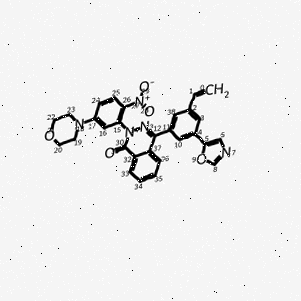 C=Cc1cc(-c2cnco2)cc(-c2nn(-c3cc(N4CCOCC4)ccc3[N+](=O)[O-])c(=O)c3ccccc23)c1